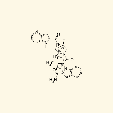 CC(C)(C)[C@@H](C(=O)N1C[C@@H]2C[C@H]1CN2C(=O)c1cc2ncccc2[nH]1)n1c(C(N)=O)cc2ccccc21